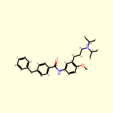 COc1ccc(NC(=O)c2ccc(Cc3ccccc3)cc2)cc1CCCN(C(C)C)C(C)C